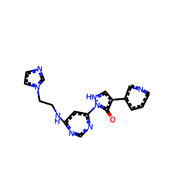 O=c1c(-c2cccnc2)c[nH]n1-c1cc(NCCn2ccnc2)ncn1